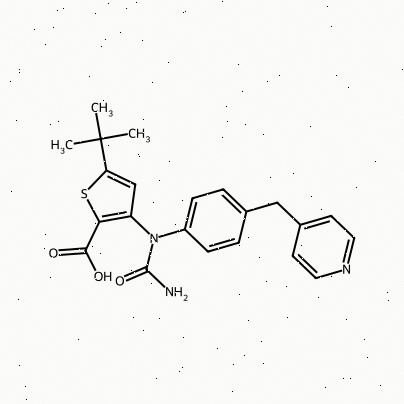 CC(C)(C)c1cc(N(C(N)=O)c2ccc(Cc3ccncc3)cc2)c(C(=O)O)s1